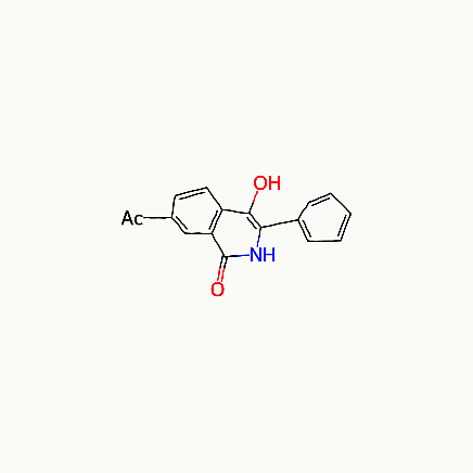 CC(=O)c1ccc2c(O)c(-c3ccccc3)[nH]c(=O)c2c1